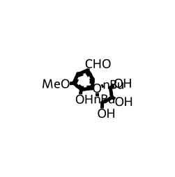 CCCCOCCCC.COc1cc(C=O)ccc1O.OCC(O)CO